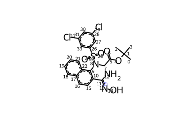 CC(C)(C)OC(=O)CN(c1c(/C(N)=N/O)ccc2ccccc12)S(=O)(=O)c1cc(Cl)cc(Cl)c1